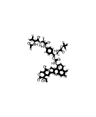 CC[C@@]1(O)C(=O)OCc2c1cc1n(c2=O)Cc2c-1nc1cc(F)c(C)c3c1c2[C@@H](NC(=O)O[C@@H](CNC(=O)OC(C)(C)C)c1ccc(NC(=O)[C@H](C)NC(=O)[C@@H](NC(C)=O)C(C)C)cc1)CC3